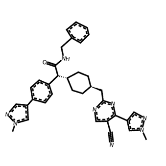 Cn1cc(-c2ccc(C(C(=O)NCc3ccccc3)[C@H]3CC[C@H](Cc4ncc(C#N)c(-c5cnn(C)c5)n4)CC3)cc2)cn1